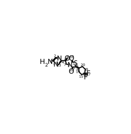 Nc1cnc(C(=O)CN2C(=O)SC(=C3CCC(F)(F)CC3)C2=O)cn1